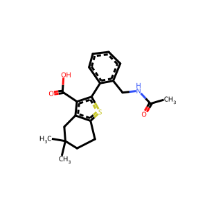 CC(=O)NCc1ccccc1-c1sc2c(c1C(=O)O)CC(C)(C)CC2